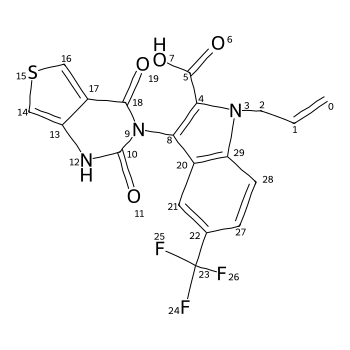 C=CCn1c(C(=O)O)c(-n2c(=O)[nH]c3cscc3c2=O)c2cc(C(F)(F)F)ccc21